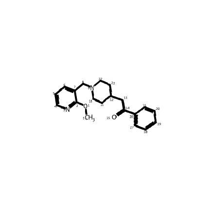 COc1ncccc1CN1CCC(CC(=O)c2ccccc2)CC1